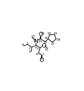 CCC(C)C(C(CC=O)OC)N(C)C(=O)CC1CCCC1